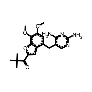 COc1cc(Cc2cnc(N)nc2N)c2cc(C(=O)C(C)(C)C)oc2c1OC